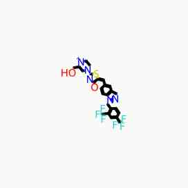 CN1CCN(C2=NC(=O)/C(=C\c3ccc4c(cnn4Cc4ccc(C(F)(F)F)cc4C(F)(F)F)c3)S2)CC1CO